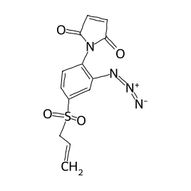 C=CCS(=O)(=O)c1ccc(N2C(=O)C=CC2=O)c(N=[N+]=[N-])c1